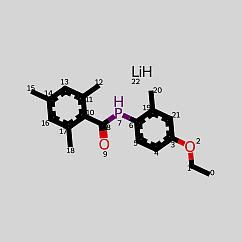 CCOc1ccc(PC(=O)c2c(C)cc(C)cc2C)c(C)c1.[LiH]